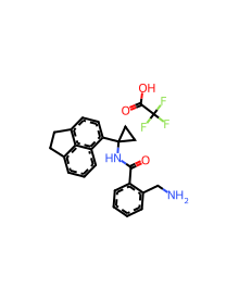 NCc1ccccc1C(=O)NC1(c2ccc3c4c(cccc24)CC3)CC1.O=C(O)C(F)(F)F